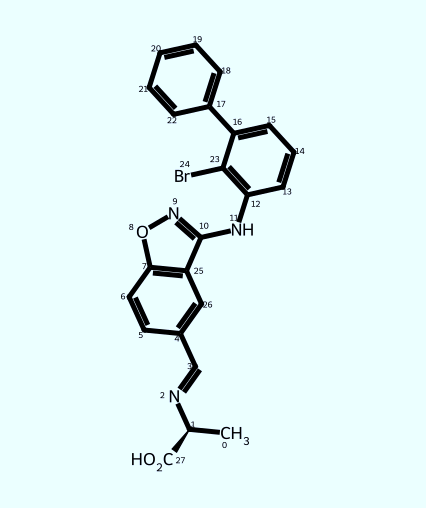 C[C@H](N=Cc1ccc2onc(Nc3cccc(-c4ccccc4)c3Br)c2c1)C(=O)O